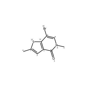 Cc1cc2c(=O)n(C)cc(Br)c2s1